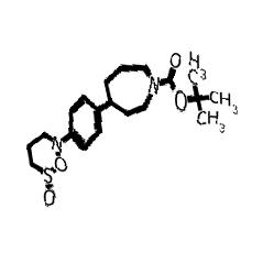 CC(C)(C)OC(=O)N1CCCC(c2ccc(N3CCCS(=O)O3)cc2)CC1